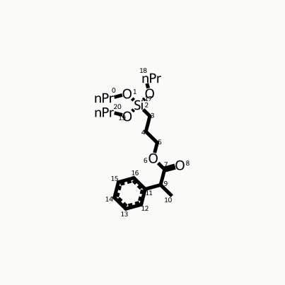 CCCO[Si](CCCOC(=O)C(C)c1ccccc1)(OCCC)OCCC